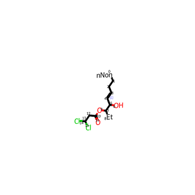 CCCCCCCCCCC/C=C/C(O)C(CC)OC(=O)CC(Cl)Cl